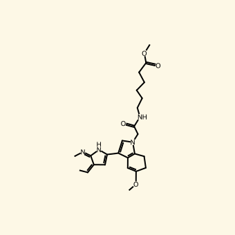 C/C=C1/C=C(c2cn(CC(=O)NCCCCCC(=O)OC)c3c2C=C(OC)CC3)N/C1=N/C